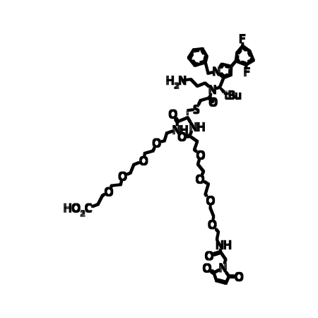 CC(C)(C)[C@H](c1cc(-c2cc(F)ccc2F)cn1Cc1ccccc1)N(CCCN)C(=O)CSC[C@H](NC(=O)CCOCCOCCOCCOCCNC(=O)CN1C(=O)C=CC1=O)C(=O)NCCOCCOCCOCCOCCC(=O)O